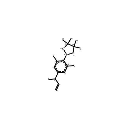 C=CC(C)c1cc(C)c(B2OC(C)(C)C(C)(C)O2)c(C)c1